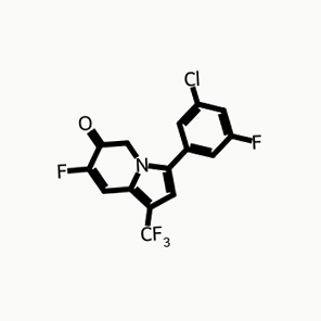 O=C1Cn2c(-c3cc(F)cc(Cl)c3)cc(C(F)(F)F)c2C=C1F